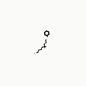 NC(CCCCBO)(CCCOc1ccccc1)C(=O)O